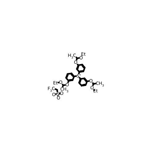 CCOC(C)Oc1cccc([S+](c2cccc(OC(C)OCC)c2)c2cccc(OC(C)OCC)c2)c1.O=S(=O)([O-])CC(F)(F)F